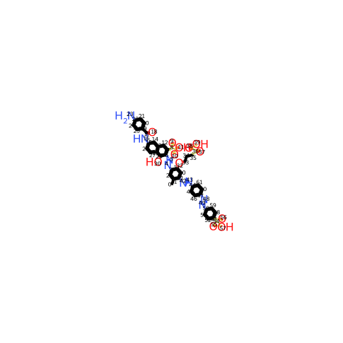 Cc1cc(N=Nc2c(S(=O)(=O)O)cc3cc(NC(=O)c4ccc(N)cc4)ccc3c2O)c(OCCCS(=O)(=O)O)cc1N=Nc1ccc(N=Nc2ccc(S(=O)(=O)O)cc2)cc1